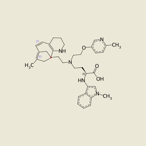 C/C1=C(CCCCN(CCOc2ccc(C)nc2)CC[C@H](Nc2cn(C)c3ccccc23)C(=O)O)\C=C/C2=C(CC1)NCCC2